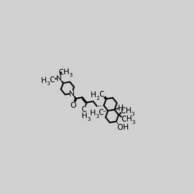 C=C1CC[C@@H]2C(C)(C)[C@H](O)CC[C@@]2(C)[C@@H]1CC/C(C)=C/C(=O)N1CCC(N(C)C)CC1